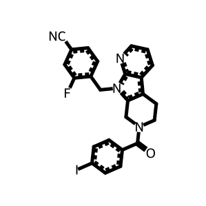 N#Cc1ccc(Cn2c3c(c4cccnc42)CCN(C(=O)c2ccc(I)cc2)C3)c(F)c1